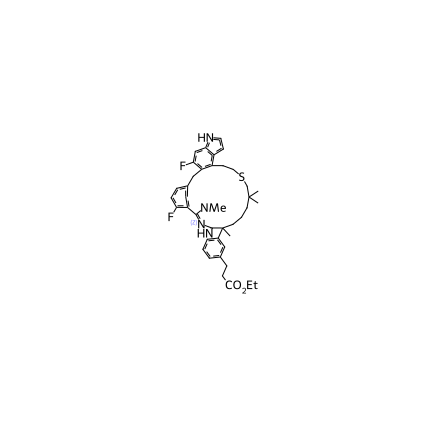 CCOC(=O)CCc1cccc(C2(C)CCCC(C)(C)CSCCc3c(c(F)cc4[nH]ccc34)Cc3ccc(F)c(c3)/C(NC)=N/C2=N)c1